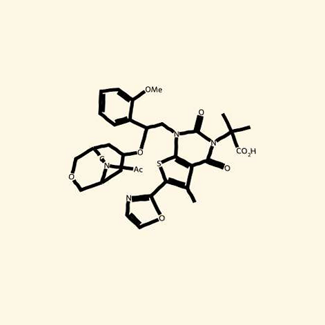 COc1ccccc1C(Cn1c(=O)n(C(C)(C)C(=O)O)c(=O)c2c(C)c(-c3ncco3)sc21)OC1CC2COCC(C1)N(C(C)=O)C2